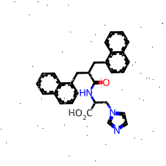 O=C(NC(Cn1ccnc1)C(=O)O)C(Cc1cccc2ccccc12)Cc1cccc2ccccc12